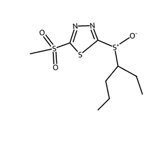 CCCC(CC)[S+]([O-])c1nnc(S(C)(=O)=O)s1